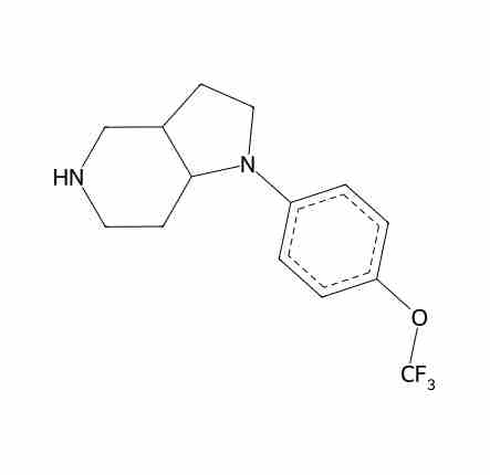 FC(F)(F)Oc1ccc(N2CCC3CNCCC32)cc1